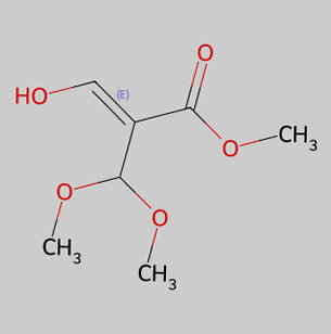 COC(=O)/C(=C/O)C(OC)OC